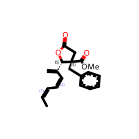 C=C(/C=C\C=C/C)[C@@H]1OC(=O)C[C@]1(Cc1ccccc1)C(=O)OC